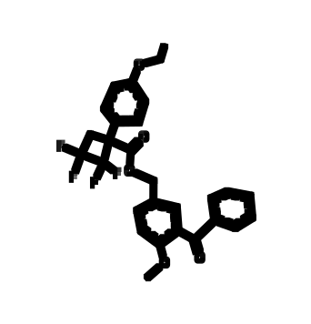 CCOc1ccc(C2(C(=O)OCc3ccc(OC)c(C(=O)c4ccccc4)c3)CC(F)(F)C2(F)F)cc1